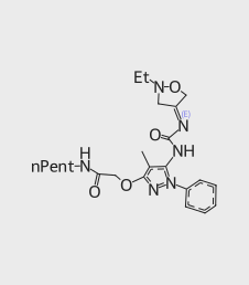 CCCCCNC(=O)COc1nn(-c2ccccc2)c(NC(=O)/N=C2/CON(CC)C2)c1C